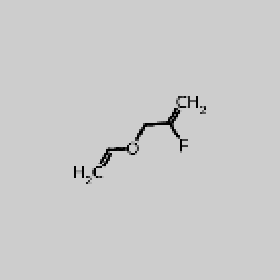 C=COCC(=C)F